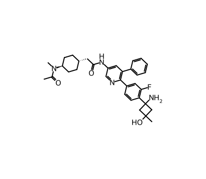 CC(=O)N(C)[C@H]1CC[C@H](CC(=O)Nc2cnc(-c3ccc(C4(N)CC(C)(O)C4)c(F)c3)c(-c3ccccc3)c2)CC1